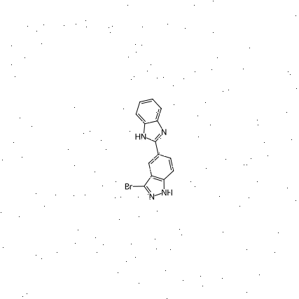 Brc1n[nH]c2ccc(-c3nc4ccccc4[nH]3)cc12